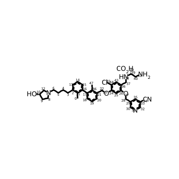 Cc1c(CCCCN2CC[C@@H](O)C2)cccc1-c1cccc(COc2cc(OCc3cncc(C#N)c3)c(CN[C@@H](CN)C(=O)O)cc2Cl)c1C